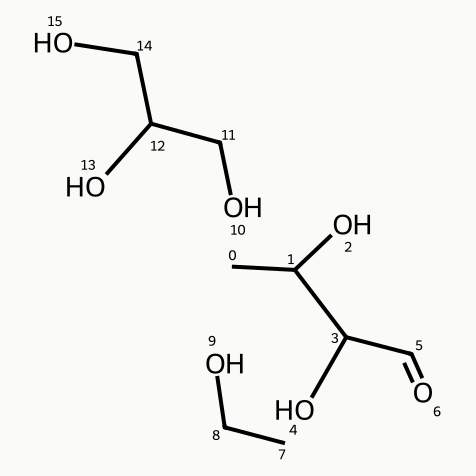 CC(O)C(O)C=O.CCO.OCC(O)CO